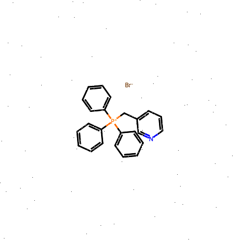 [Br-].c1ccc([P+](Cc2cccnc2)(c2ccccc2)c2ccccc2)cc1